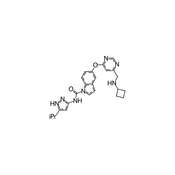 CC(C)c1cc(NC(=O)n2ccc3cc(Oc4cc(CNC5CCC5)ncn4)ccc32)n[nH]1